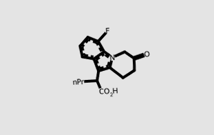 CCCC(C(=O)O)c1c2n(c3c(F)cccc13)CC(=O)CC2